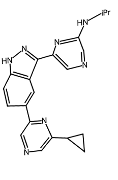 CC(C)Nc1cncc(-c2n[nH]c3ccc(-c4cncc(C5CC5)n4)cc23)n1